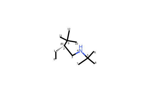 CC[C@@H](CNC(C)(C)C)C(C)(C)C